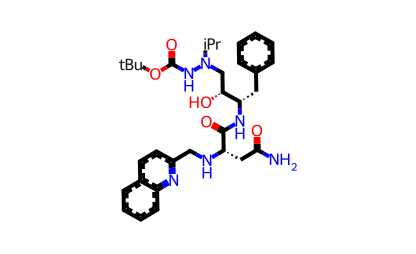 CC(C)N(C[C@@H](O)[C@H](Cc1ccccc1)NC(=O)[C@H](CC(N)=O)NCc1ccc2ccccc2n1)NC(=O)OC(C)(C)C